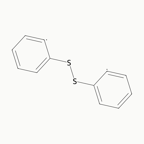 [c]1ccccc1SSc1[c]cccc1